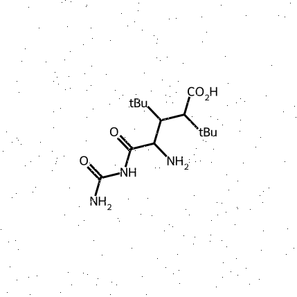 CC(C)(C)C(C(=O)O)C(C(N)C(=O)NC(N)=O)C(C)(C)C